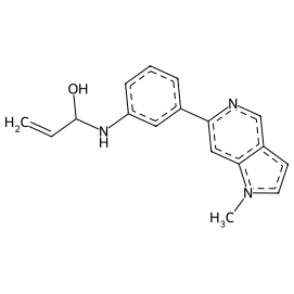 C=CC(O)Nc1cccc(-c2cc3c(ccn3C)cn2)c1